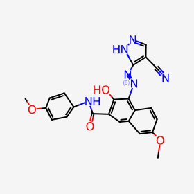 COc1ccc(NC(=O)c2cc3cc(OC)ccc3c(/N=N/c3[nH]ncc3C#N)c2O)cc1